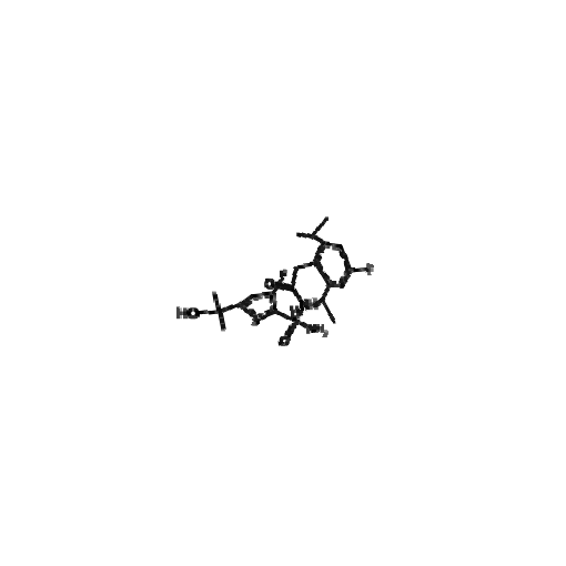 CC(C)c1cc(F)cc(C(C)C)c1CC(=O)N[SH](N)(=O)c1sc(C(C)(C)O)cc1F